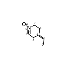 CC=C1CC[NH+]([O-])CC1